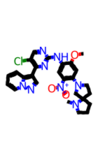 COc1cc(N2CCC3(CCCN3C)C2)c([N+](=O)[O-])cc1Nc1ncc(Cl)c(-c2cnn3ccccc23)n1